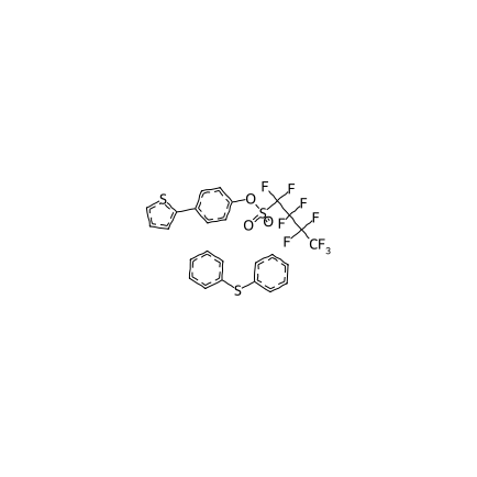 O=S(=O)(Oc1ccc(-c2cccs2)cc1)C(F)(F)C(F)(F)C(F)(F)C(F)(F)F.c1ccc(Sc2ccccc2)cc1